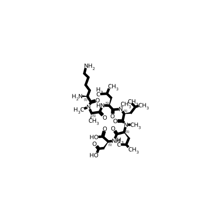 CC(C)C[C@H](NC(=O)[C@H](C)N(C)C(=O)[C@@H](N)CCCCN)C(=O)N(C)[C@@H](CC(C)C)C(=O)N(C)[C@@H](CC(C)C)C(=O)N[C@@H](CC(=O)O)C(=O)O